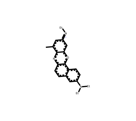 CC/N=c1/cc2oc3c(ccc4cc(N(CC)CC)ccc43)nc-2c(C)c1